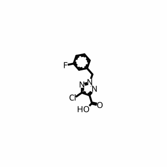 O=C(O)c1nn(Cc2cccc(F)c2)nc1Cl